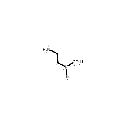 CCN(CCN)C(=O)O